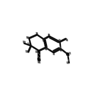 COc1cc2c(cc1C)CCC(C)(C)C2=O